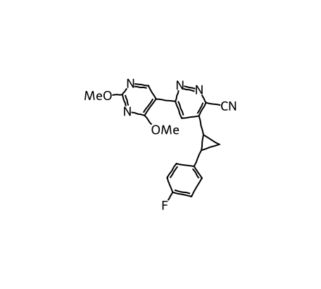 COc1ncc(-c2cc(C3CC3c3ccc(F)cc3)c(C#N)nn2)c(OC)n1